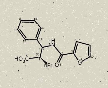 CCC[C@@H](C(=O)O)C(NC(=O)c1ccco1)c1ccccc1